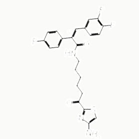 Nc1csc(C(=O)CCCCCNC(=O)/C(=C\c2ccc(F)c(F)c2)c2ccc(F)cc2)n1